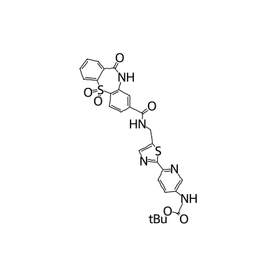 CC(C)(C)OC(=O)Nc1ccc(-c2ncc(CNC(=O)c3ccc4c(c3)NC(=O)c3ccccc3S4(=O)=O)s2)nc1